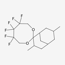 CC1CC2CC(C)C3(OCC(F)(F)C(F)(F)C(F)(F)CO3)C(C1)C2